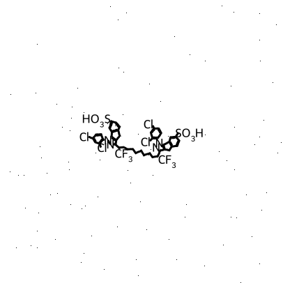 O=S(=O)(O)c1ccc2c(c1)-c1c(c(C(CCCCCCCCC(c3nn(-c4ccc(Cl)cc4Cl)c4c3Cc3ccc(S(=O)(=O)O)cc3-4)C(F)(F)F)C(F)(F)F)nn1-c1ccc(Cl)cc1Cl)C2